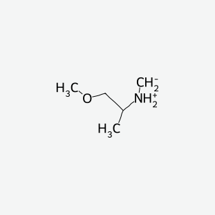 [CH2-][NH2+]C(C)COC